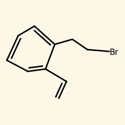 C=Cc1ccccc1CCBr